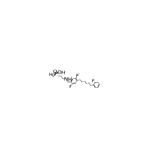 O=P(O)(O)CCCNCc1cc(F)c(CCCCCCc2ccccc2F)cc1F